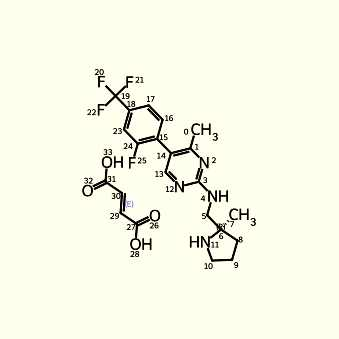 Cc1nc(NC[C@@]2(C)CCCN2)ncc1-c1ccc(C(F)(F)F)cc1F.O=C(O)/C=C/C(=O)O